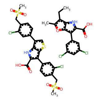 CCc1c(C)oc2c(-c3cc(Cl)cc(Cl)c3)c(C(=O)O)[nH]c12.CS(=O)(=O)Cc1ccc(-c2csc3c(-c4ccc(CS(C)(=O)=O)c(Cl)c4)c(C(=O)O)[nH]c23)cc1Cl